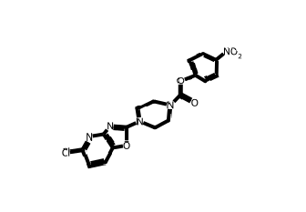 O=C(Oc1ccc([N+](=O)[O-])cc1)N1CCN(c2nc3nc(Cl)ccc3o2)CC1